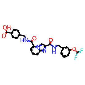 O=C(O)c1ccc(CNC(=O)c2cccc3nc(C(=O)NCc4cccc(OC(F)F)c4)cn23)cc1